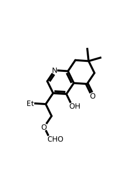 CCC(COC=O)c1cnc2c(c1O)C(=O)CC(C)(C)C2